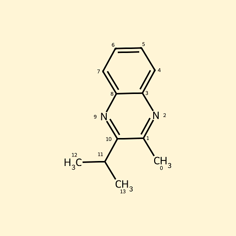 Cc1nc2ccccc2nc1C(C)C